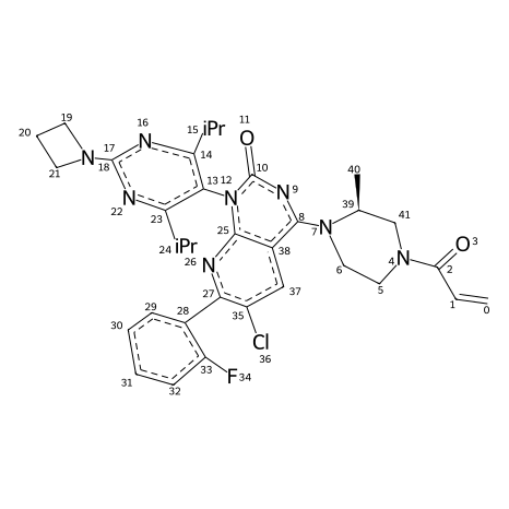 C=CC(=O)N1CCN(c2nc(=O)n(-c3c(C(C)C)nc(N4CCC4)nc3C(C)C)c3nc(-c4ccccc4F)c(Cl)cc23)[C@@H](C)C1